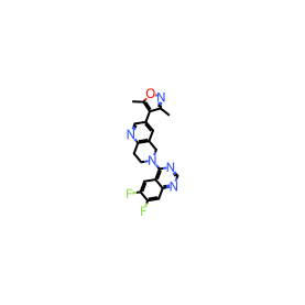 Cc1noc(C)c1-c1cnc2c(c1)CN(c1ncnc3cc(F)c(F)cc13)CC2